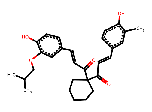 Cc1cc(/C=C/C(=O)C2(C(=O)/C=C/c3ccc(O)c(OCC(C)C)c3)CCCCC2)ccc1O